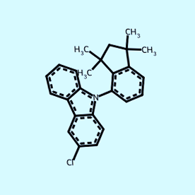 CC1(C)CC(C)(C)c2c(-n3c4ccccc4c4cc(Cl)ccc43)cccc21